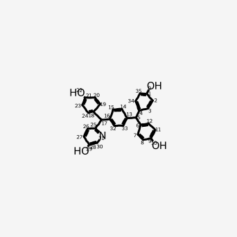 Oc1ccc(C(c2ccc(O)cc2)c2ccc(C(c3ccc(O)cc3)c3ccc(O)cn3)cc2)cc1